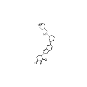 O=C1CCC(n2cc3ccc(N4CCC[C@@H](NCC5CCNCC5)C4)cc3c2)C(=O)N1